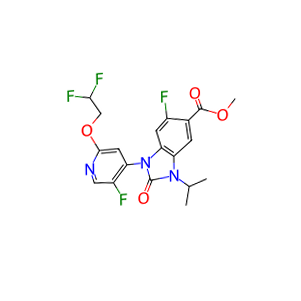 COC(=O)c1cc2c(cc1F)n(-c1cc(OCC(F)F)ncc1F)c(=O)n2C(C)C